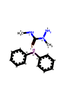 CNC(=S)N(C)N.c1ccc(Pc2ccccc2)cc1